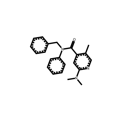 Cc1cnc(N(C)C)cc1C(=O)N(Cc1ccccc1)c1ccccc1